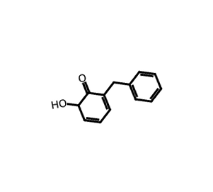 O=C1C(Cc2ccccc2)=CC=CC1O